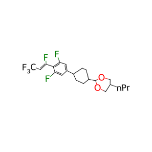 CCCC1COC(C2CCC(c3cc(F)c(/C(F)=C/C(F)(F)F)c(F)c3)CC2)OC1